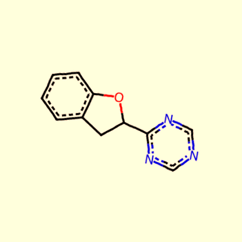 c1ccc2c(c1)CC(c1ncncn1)O2